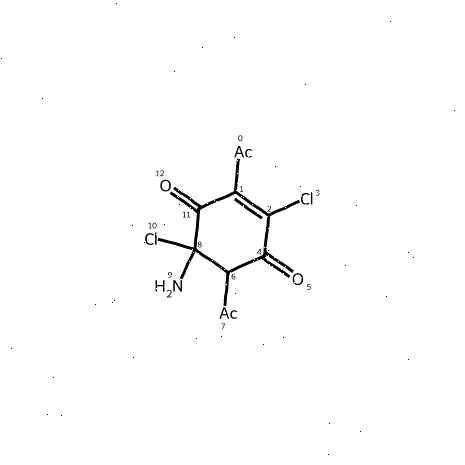 CC(=O)C1=C(Cl)C(=O)C(C(C)=O)C(N)(Cl)C1=O